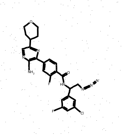 [N-]=[N+]=NCC(NC(=O)c1ccc(-c2nc(C3CCOCC3)cnc2N)cc1F)c1cc(F)cc(Cl)c1